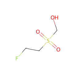 O=S(=O)(CO)CCF